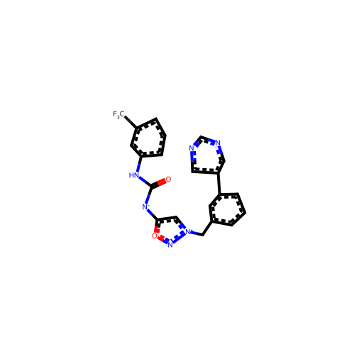 O=C([N-]c1c[n+](Cc2cccc(-c3cncnc3)c2)no1)Nc1cccc(C(F)(F)F)c1